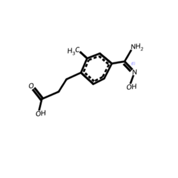 Cc1cc(/C(N)=N\O)ccc1CCC(=O)O